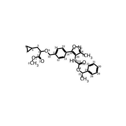 COC(=O)C(CC1CC1)OCc1ccc(-c2onc(C)c2NC(=O)O[C@H](C)c2ccccc2)cc1